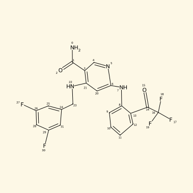 NC(=O)c1cnc(Nc2ccccc2C(=O)C(F)(F)F)cc1NCc1cc(F)cc(F)c1